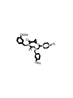 CCC(CN(CC(=O)N1CCN(C)CC1)Cc1cccc(OC)c1)N(Cc1cccc(OC)c1)C(=O)C1CC1